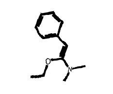 CCOC(=Cc1ccccc1)N(C)C